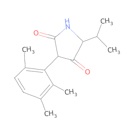 Cc1ccc(C)c(C2C(=O)NC(C(C)C)C2=O)c1C